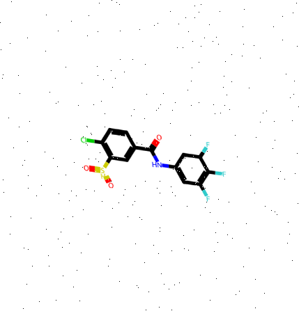 O=C(NC1=CC(F)=C(F)C(F)C1)c1ccc(Cl)c([SH](=O)=O)c1